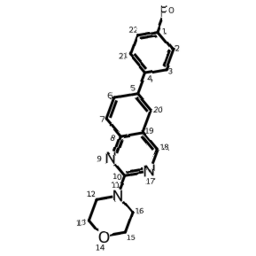 Fc1ccc(-c2ccc3nc(N4CCOCC4)ncc3c2)cc1